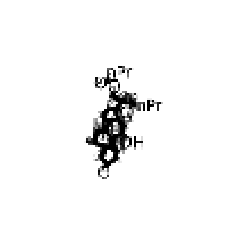 CCCC(=O)OCC(=O)[C@@]1(OC(=O)CCC)CC[C@H]2[C@@H]3C[C@H](C)C4=CC(=O)CC[C@]4(C)[C@H]3[C@@H](O)C[C@@]21C